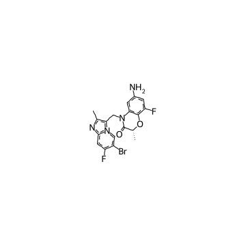 Cc1nc2cc(F)c(Br)cn2c1CN1C(=O)[C@@H](C)Oc2c(F)cc(N)cc21